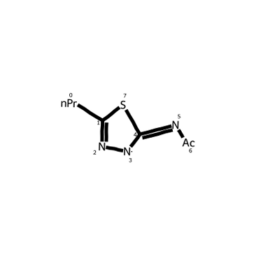 CCCC1=N[N]C(=NC(C)=O)S1